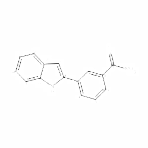 NC(=O)c1cccc(-c2cc3c[c]ccc3[nH]2)c1